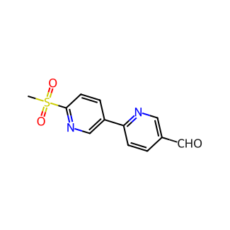 CS(=O)(=O)c1ccc(-c2ccc(C=O)cn2)cn1